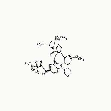 COc1ccc2c(c1)C1CN(C(C)=O)CC1(C(=O)N1C[C@@H](C)O[C@@H](C)C1)CN1C2=C(C2CCCCC2)C2C=CC(C(=O)NS(=O)(=O)N(C)C)=CC21